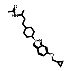 CC(=O)NC(C)CCC1CCC(n2cc3ccc(OCC4CC4)cc3n2)CC1